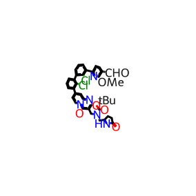 COc1nc(-c2cccc(-c3cccc(-c4ccn5c(=O)c(CN(CC6CCC(=O)N6)C(=O)OC(C)(C)C)cnc5c4)c3Cl)c2Cl)ccc1C=O